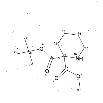 COC(=O)C1(C(=O)OC(C)(C)C)CCCCN1